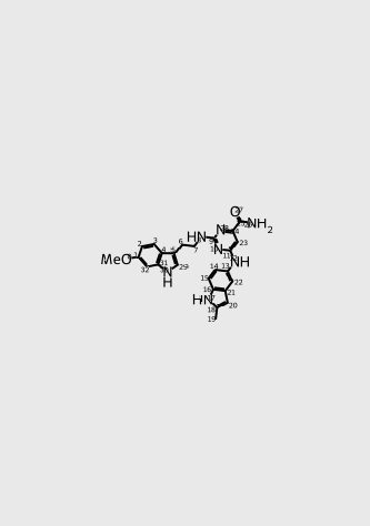 COc1ccc2c(CCNc3nc(Nc4ccc5[nH]c(C)cc5c4)cc(C(N)=O)n3)c[nH]c2c1